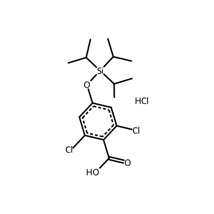 CC(C)[Si](Oc1cc(Cl)c(C(=O)O)c(Cl)c1)(C(C)C)C(C)C.Cl